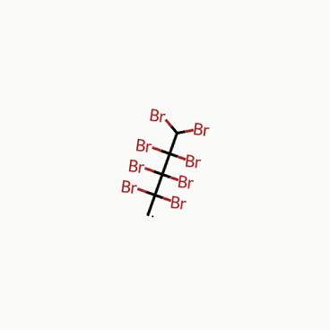 [CH2]C(Br)(Br)C(Br)(Br)C(Br)(Br)C(Br)Br